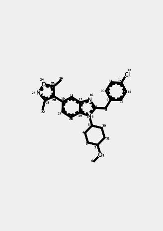 COC1CCC(n2c(Cc3ccc(Cl)cc3)nc3cc(-c4c(C)noc4C)ccc32)CC1